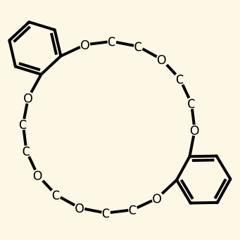 c1ccc2c(c1)OCCOCCOc1ccccc1OCCOCOCCO2